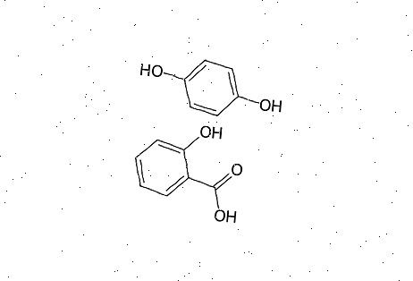 O=C(O)c1ccccc1O.Oc1ccc(O)cc1